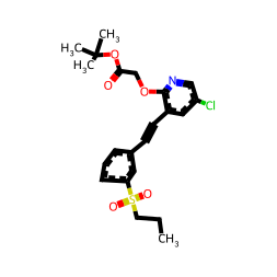 CCCS(=O)(=O)c1cccc(C#Cc2cc(Cl)cnc2OCC(=O)OC(C)(C)C)c1